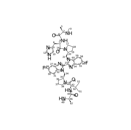 CN[C@H](C)C(=O)N[C@H](Cc1c[nH]cn1)C(=O)N1CCC[C@H]1Cn1c(-c2nc3cc(F)ccc3n2C[C@@H]2CCCN2C(=O)[C@H](NC(=O)[C@@H](C)NC)C(C)C)nc2cc(F)ccc21